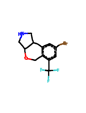 FC(F)(F)c1cc(Br)cc2c1COC1CNCC21